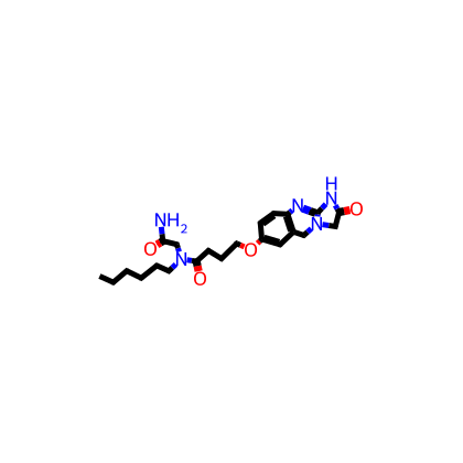 CCCCCCN(CC(N)=O)C(=O)CCCOc1ccc2c(c1)CN1CC(=O)NC1=N2